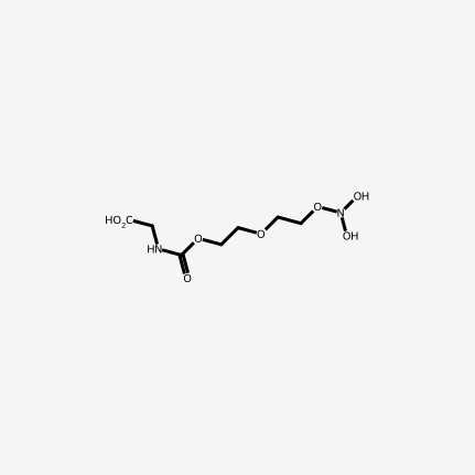 O=C(O)CNC(=O)OCCOCCON(O)O